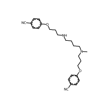 CN(CCCCNCCCOc1ccc(C#N)cc1)CCCOc1ccc(C#N)cc1